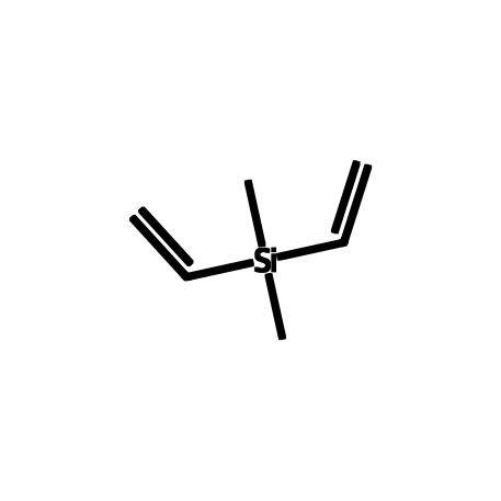 C=C[Si](C)(C)C=C